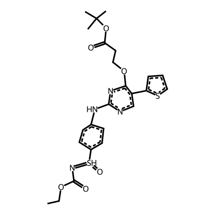 CCOC(=O)N=[SH](=O)c1ccc(Nc2ncc(-c3cccs3)c(OCCC(=O)OC(C)(C)C)n2)cc1